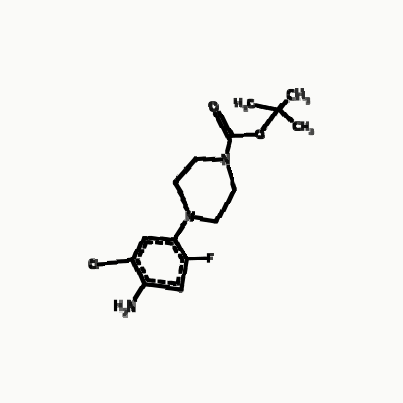 CC(C)(C)OC(=O)N1CCN(c2cc(Cl)c(N)cc2F)CC1